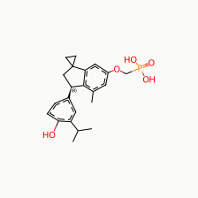 Cc1cc(OCP(=O)(O)O)cc2c1[C@@H](c1ccc(O)c(C(C)C)c1)CC21CC1